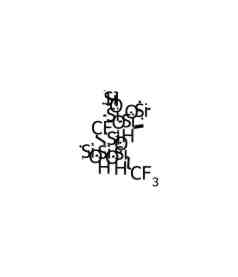 C=C[SiH](O[SiH](C)O[Si](C)(C)C)O[Si](C)(C)C.C[Si](C)(C)O[SiH](CCC(F)(F)F)O[SiH](CCC(F)(F)F)O[Si](C)(C)C